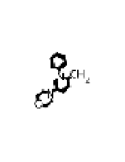 C=C1C=CC(N2CCOCC2)=CN1c1ccccc1